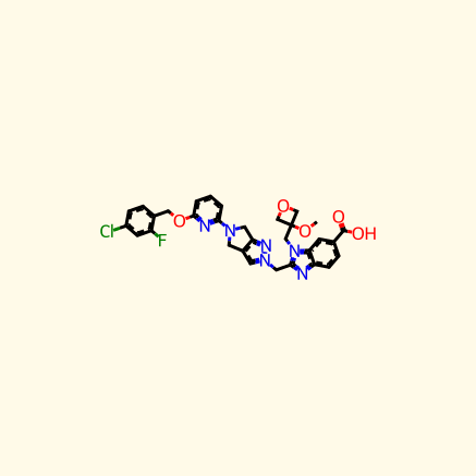 COC1(Cn2c(Cn3cc4c(n3)CN(c3cccc(OCc5ccc(Cl)cc5F)n3)C4)nc3ccc(C(=O)O)cc32)COC1